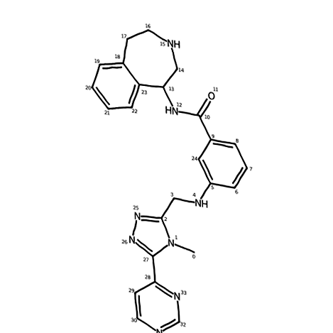 Cn1c(CNc2cccc(C(=O)NC3CNCCc4ccccc43)c2)nnc1-c1ccncn1